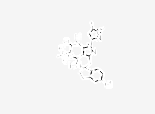 Cc1cc(-n2nc3c(c2NC(=O)CS(C)(=O)=O)C(=O)N[C@@]2(CCc4cc(Cl)ccc42)C3)nn1C